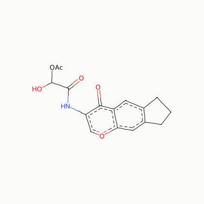 CC(=O)OC(O)C(=O)Nc1coc2cc3c(cc2c1=O)CCC3